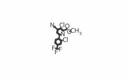 COC(=O)c1nc(-c2ccc(C(F)(F)F)cc2Cl)cc(C#N)c1Cl